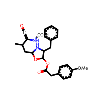 COc1ccc(CC(=O)OC2OC(CC(C)C(=C=O)NC(=O)O)NC2Cc2ccccc2)cc1